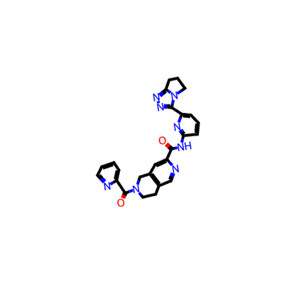 O=C(Nc1cccc(-c2nnc3n2CCC3)n1)c1cc2c(cn1)CCN(C(=O)c1ccccn1)C2